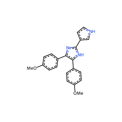 COc1ccc(-c2nc(-c3cc[nH]c3)[nH]c2-c2ccc(OC)cc2)cc1